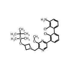 COc1nc(-c2cccc(-c3cccc(N)c3Cl)c2Cl)cnc1CN1CC(O[Si](C)(C)C(C)(C)C)C1